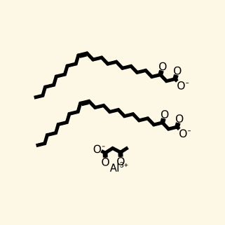 CC(=O)CC(=O)[O-].CCCCCCCC/C=C\CCCCCCCCCC(=O)CC(=O)[O-].CCCCCCCC/C=C\CCCCCCCCCC(=O)CC(=O)[O-].[Al+3]